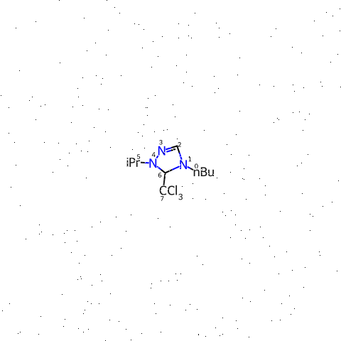 CCCCN1C=NN(C(C)C)C1C(Cl)(Cl)Cl